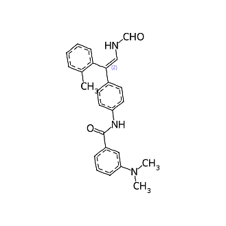 Cc1ccccc1/C(=C\NC=O)c1ccc(NC(=O)c2cccc(N(C)C)c2)cc1